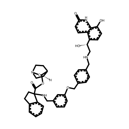 O=C(O[C@H]1CN2CCC1CC2)C1(NCc2cccc(OCc3ccc(CNC[C@H](O)c4ccc(O)c5[nH]c(=O)ccc45)cc3)c2)CCc2ccccc21